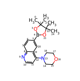 CC1(C)OB(c2ccc3nccc(N4CCOCC4)c3c2)OC1(C)C